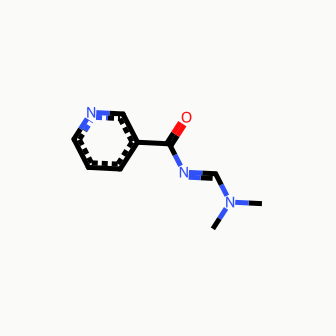 CN(C)C=NC(=O)c1cccnc1